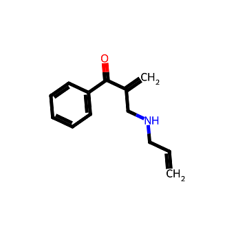 C=CCNCC(=C)C(=O)c1ccccc1